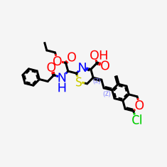 C=c1cc2c(c/c1=C/C=C1\CSC(C(NC(=O)Cc3ccccc3)C(=O)OCCC)N=C1C(=O)O)C=C(Cl)OC2